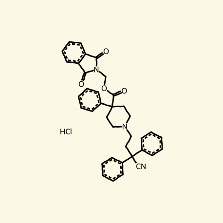 Cl.N#CC(CCN1CCC(C(=O)OCN2C(=O)c3ccccc3C2=O)(c2ccccc2)CC1)(c1ccccc1)c1ccccc1